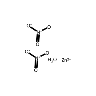 O.O=[N+]([O-])[O-].O=[N+]([O-])[O-].[Zn+2]